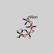 [CH2]CCCCCCCC[Si](C)(C)O[Si](C)(C)O[Si](C)(C)O[Si](C)(C)C